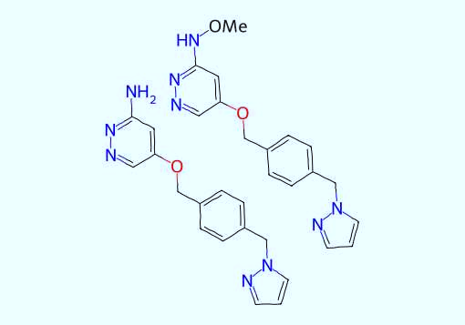 CONc1cc(OCc2ccc(Cn3cccn3)cc2)cnn1.Nc1cc(OCc2ccc(Cn3cccn3)cc2)cnn1